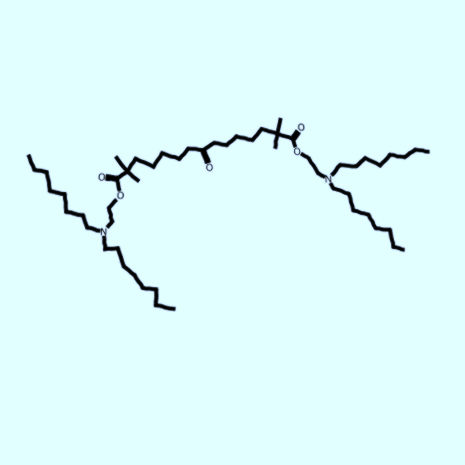 CCCCCCCCN(CCCCCCCC)CCOC(=O)C(C)(C)CCCCCC(=O)CCCCCC(C)(C)C(=O)OCCN(CCCCCCCC)CCCCCCCC